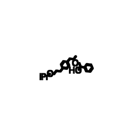 CC(C)OCCCc1ccc(CC(C)OCC(O)c2ccccc2)cc1